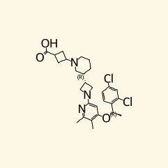 Cc1nc(N2CC([C@H]3CCCN(C4CC(C(=O)O)C4)C3)C2)cc(O[C@H](C)c2ccc(Cl)cc2Cl)c1C